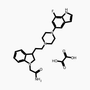 NC(=O)CN1CC(CCN2CCN(c3cc(F)c4[nH]ccc4c3)CC2)c2ccccc21.O=C(O)C(=O)O